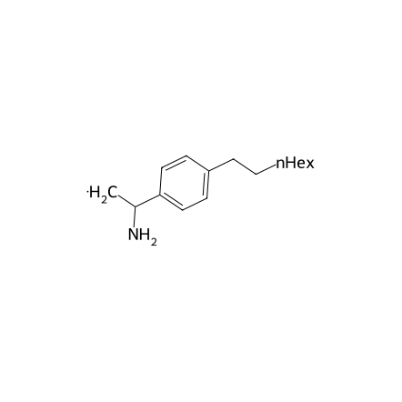 [CH2]C(N)c1ccc(CCCCCCCC)cc1